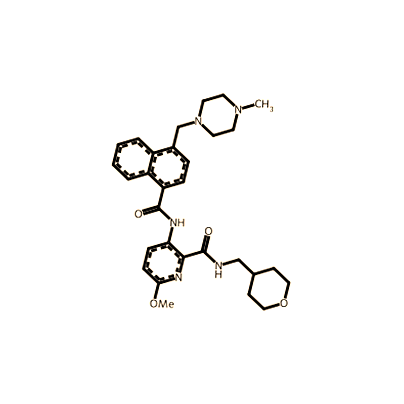 COc1ccc(NC(=O)c2ccc(CN3CCN(C)CC3)c3ccccc23)c(C(=O)NCC2CCOCC2)n1